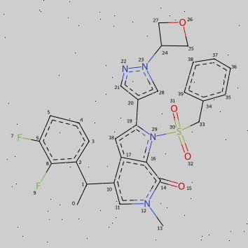 CC(c1cccc(F)c1F)c1cn(C)c(=O)c2c1cc(-c1cnn(C3COC3)c1)n2S(=O)(=O)Cc1ccccc1